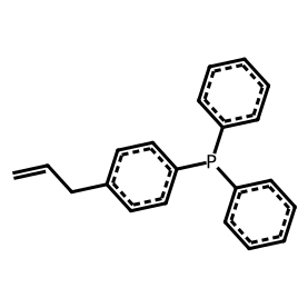 C=CCc1ccc(P(c2ccccc2)c2ccccc2)cc1